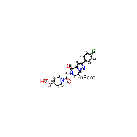 CCCCCC1CN(CC(=O)N2CCC(CO)CC2)C(=O)c2cc(-c3ccc(Cl)cc3)nn21